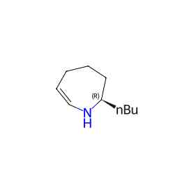 CCCC[C@@H]1CCCC=CN1